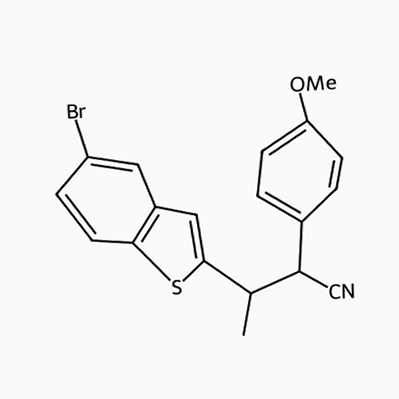 COc1ccc(C(C#N)C(C)c2cc3cc(Br)ccc3s2)cc1